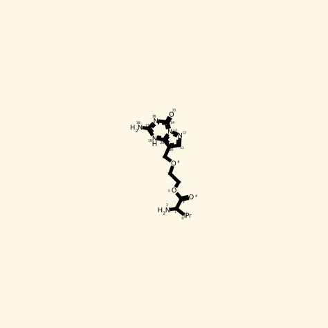 CC(C)C(N)C(=O)OCCOCc1cnn2c(=O)nc(N)[nH]c12